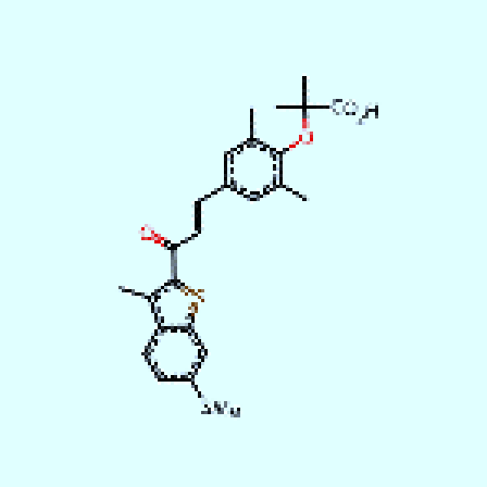 CSc1ccc2c(C)c(C(=O)C=Cc3cc(C)c(OC(C)(C)C(=O)O)c(C)c3)sc2c1